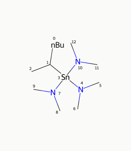 CCCC[CH](C)[Sn]([N](C)C)([N](C)C)[N](C)C